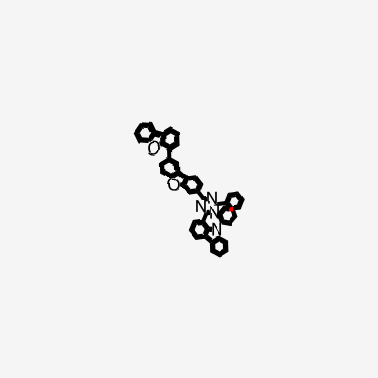 c1ccc(-c2nc(-c3ccc4c(c3)oc3ccc(-c5cccc6c5oc5ccccc56)cc34)nc(-c3cccc4c5ccccc5n(-c5ccccc5)c34)n2)cc1